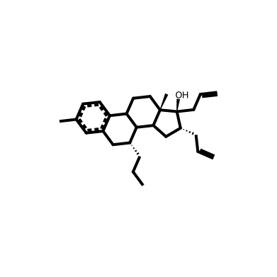 C=CC[C@@H]1CC2C3C(CC[C@]2(C)[C@]1(O)CC=C)c1ccc(C)cc1C[C@H]3CCC